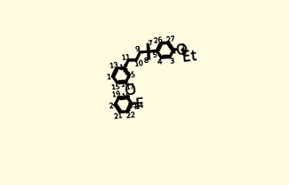 CCOc1ccc(C(C)(C)CCCc2cccc(Oc3ccccc3F)c2)cc1